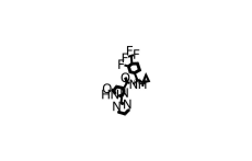 CC1([C@@H](NC(=O)c2cc(=O)[nH]c(-c3ncccn3)n2)c2ccc(C(F)(F)F)c(F)c2)CC1